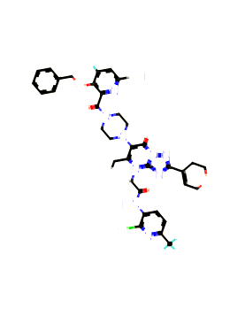 CCc1c(N2CCN(C(=O)c3nc(C)cc(F)c3OCc3ccccc3)CC2)c(=O)n2nc(C3=CCOCC3)nc2n1CC(=O)Nc1ccc(C(F)(F)F)nc1Cl